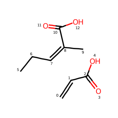 C=CC(=O)O.CCC=C(C)C(=O)O